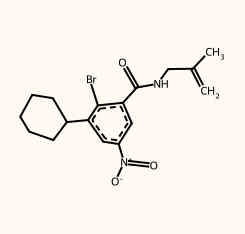 C=C(C)CNC(=O)c1cc([N+](=O)[O-])cc(C2CCCCC2)c1Br